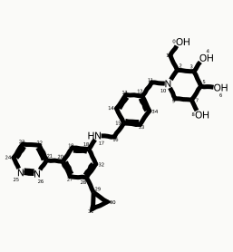 OCC1C(O)C(O)C(O)CN1Cc1ccc(CNc2cc(-c3cccnn3)cc(C3CC3)c2)cc1